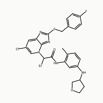 CCC(C(=O)Nc1cc(NC2CCOC2)ccc1C)n1cc(Cl)cc2nc(SCc3ccc(F)cc3)nc1-2